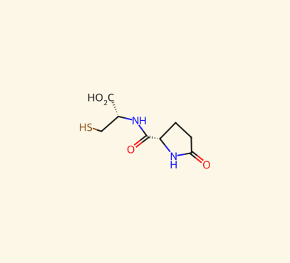 O=C1CC[C@@H](C(=O)N[C@H](CS)C(=O)O)N1